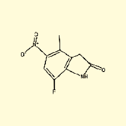 Cc1c([N+](=O)[O-])cc(F)c2c1CC(=O)N2